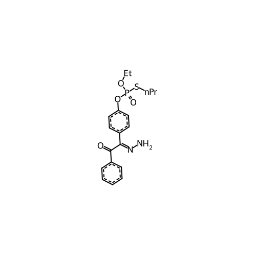 CCCSP(=O)(OCC)Oc1ccc(/C(=N\N)C(=O)c2ccccc2)cc1